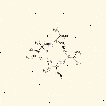 CC(C)(/N=N/C(C)(C)C(=N)N)C(=N)N.CC(C)C(C#N)/N=N/C(C#N)C(C)C.Cl.Cl